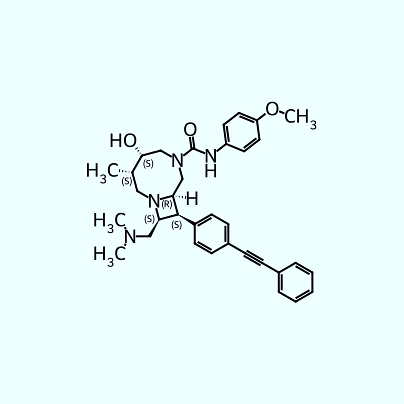 COc1ccc(NC(=O)N2C[C@@H](O)[C@@H](C)CN3[C@H](CN(C)C)[C@H](c4ccc(C#Cc5ccccc5)cc4)[C@@H]3C2)cc1